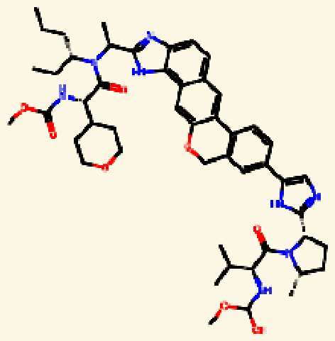 CCC[C@@H](CC)N(C(=O)[C@@H](NC(=O)OC)C1CCOCC1)[C@@H](C)c1nc2ccc3cc4c(cc3c2[nH]1)OCc1cc(-c2cnc([C@@H]3CC[C@H](C)N3C(=O)[C@@H](NC(O)OC)C(C)C)[nH]2)ccc1-4